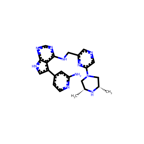 C[C@@H]1CN(c2cncc(CNc3ncnc4[nH]cc(-c5ccnc(N)c5)c34)n2)C[C@H](C)N1